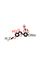 C=CCOc1cc(O)c2c(=O)cc(-c3ccc(OC)c(OCC)c3OC=C=O)oc2c1